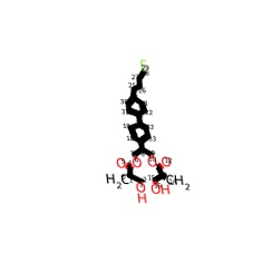 C=C(CO)C(=O)OCC(COC(=O)C(=C)CO)c1ccc(-c2ccc(CCCCF)cc2)cc1